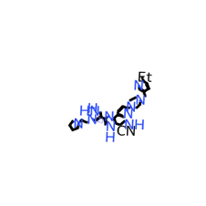 CCc1ccc(CN2CCN(c3ccc(C4=NC(/C(C=N)=C/NCCN5CCCC5)=CNC4C(C#N)C=N)cn3)CC2)cn1